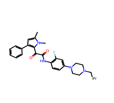 Cc1cc(-c2ccccc2)c(C(=O)C(=O)Nc2ccc(N3CCN(CC(C)C)CC3)cc2F)n1C